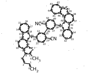 C=C/C=C\c1c(C)sc2c1ccc1c3ccccc3n(-c3ccc(C#N)c(-c4cc(-n5c6ccccc6c6ccc7sc8ccccc8c7c65)ccc4C#N)c3)c12